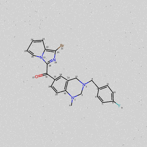 CN1CN(Cc2ccc(F)cc2)Cc2cc(C(=O)c3nc(Br)c4ccccn34)ccc21